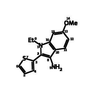 CCn1c(-c2cccs2)c(N)c2ccc(OC)cc21